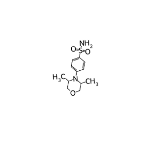 CC1COCC(C)N1c1ccc(S(N)(=O)=O)cc1